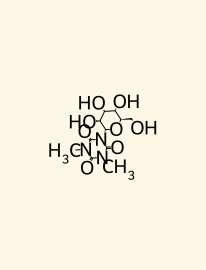 Cn1c(=O)n(C)c(=O)n([C@H]2O[C@H](CO)[C@@H](O)[C@H](O)[C@@H]2O)c1=O